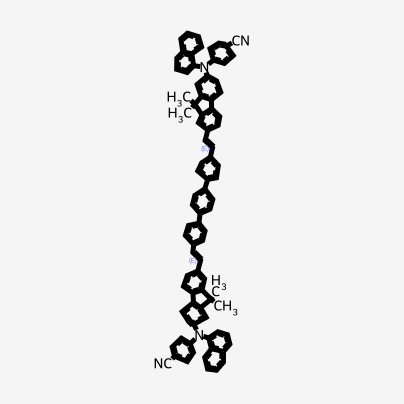 CC1(C)c2cc(/C=C/c3ccc(-c4ccc(-c5ccc(/C=C/c6ccc7c(c6)C(C)(C)c6cc(N(c8ccc(C#N)cc8)c8cccc9ccccc89)ccc6-7)cc5)cc4)cc3)ccc2-c2ccc(N(c3ccc(C#N)cc3)c3cccc4ccccc34)cc21